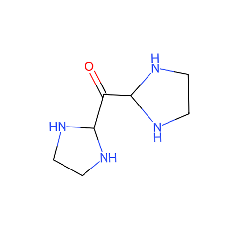 O=C(C1NCCN1)C1NCCN1